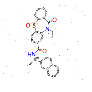 CCN1C(=O)c2ccccc2[S@@+]([O-])c2ccc(C(=O)N[C@H](C)c3ccc4ccccc4c3)cc21